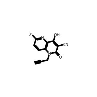 C#CCn1c(=O)c(C#N)c(O)c2nc(Br)ccc21